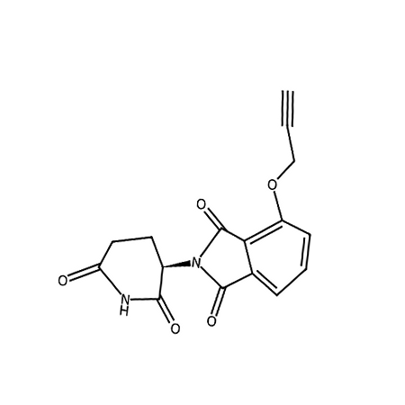 C#CCOc1cccc2c1C(=O)N([C@@H]1CCC(=O)NC1=O)C2=O